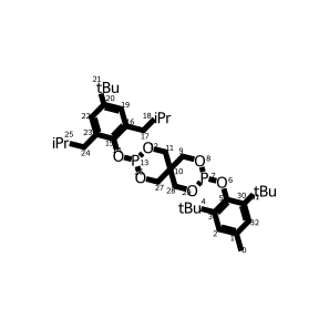 Cc1cc(C(C)(C)C)c(OP2OCC3(COP(Oc4c(CC(C)C)cc(C(C)(C)C)cc4CC(C)C)OC3)CO2)c(C(C)(C)C)c1